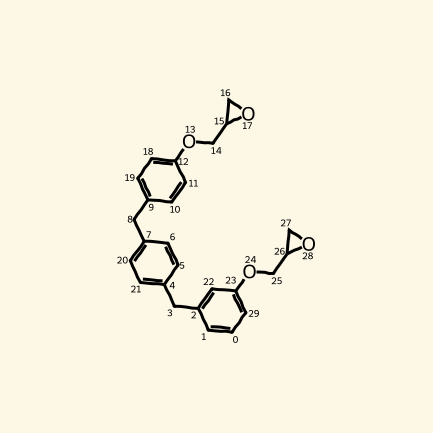 c1cc(Cc2ccc(Cc3ccc(OCC4CO4)cc3)cc2)cc(OCC2CO2)c1